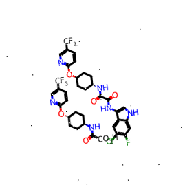 O=C(Nc1c[nH]c2cc(F)c(Cl)cc12)C(=O)N[C@H]1CC[C@H](Oc2ccc(C(F)(F)F)cn2)CC1.O=C(O)C(=O)N[C@H]1CC[C@H](Oc2ccc(C(F)(F)F)cn2)CC1